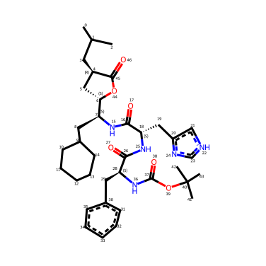 CC(C)C[C@@H]1C[C@@H]([C@H](CC2CCCCC2)NC(=O)[C@H](Cc2c[nH]cn2)NC(=O)[C@H](Cc2ccccc2)NC(=O)OC(C)(C)C)OC1=O